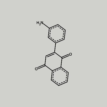 Nc1cccc(C2=CC(=O)c3ccccc3C2=O)c1